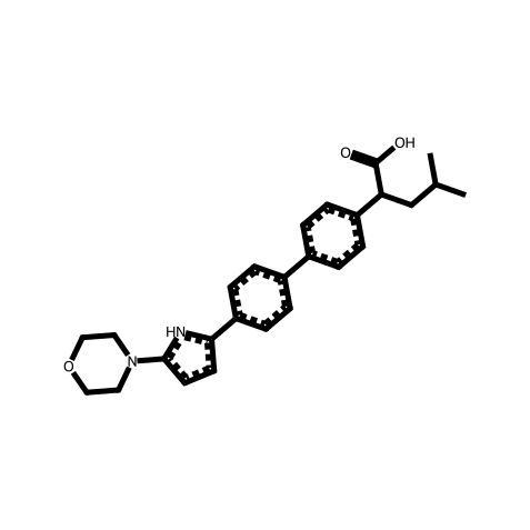 CC(C)CC(C(=O)O)c1ccc(-c2ccc(-c3ccc(N4CCOCC4)[nH]3)cc2)cc1